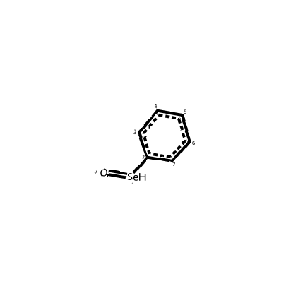 O=[SeH]c1ccccc1